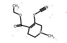 CCOC(=O)C1=C(SC#N)CN(C)CC1